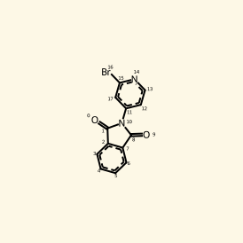 O=C1c2ccccc2C(=O)N1c1ccnc(Br)c1